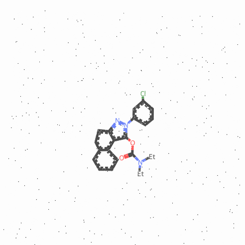 CCN(CC)C(=O)Oc1c2c(ccc3ccccc32)nn1-c1cccc(Cl)c1